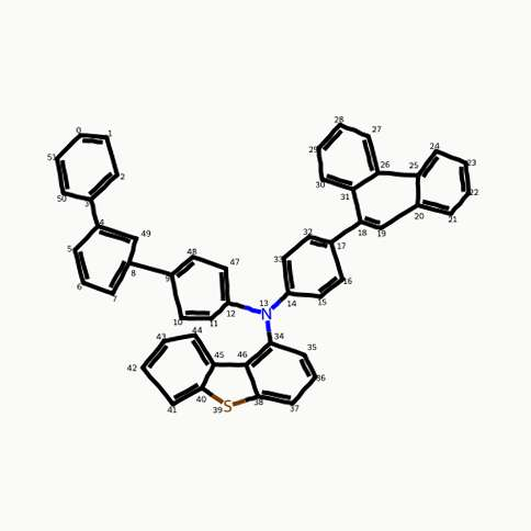 c1ccc(-c2cccc(-c3ccc(N(c4ccc(-c5cc6ccccc6c6ccccc56)cc4)c4cccc5sc6ccccc6c45)cc3)c2)cc1